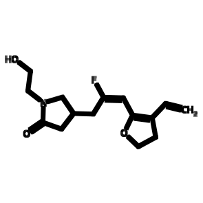 C=CC1=C(/C=C(/F)CC2CC(=O)N(CCO)C2)OCC1